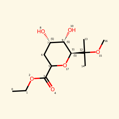 CCOC(=O)C1C[C@H](O)[C@H](O)[C@@H](C(C)(C)OC)O1